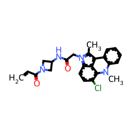 C=CC(=O)N1CC(NC(=O)Cn2c(C)c3c4c(c(Cl)ccc42)N(C)c2ccccc2-3)C1